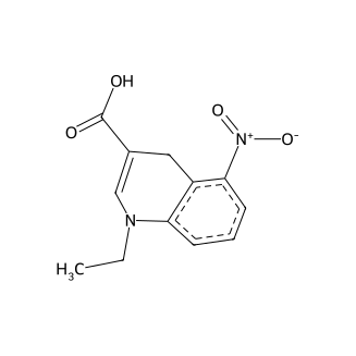 CCN1C=C(C(=O)O)Cc2c1cccc2[N+](=O)[O-]